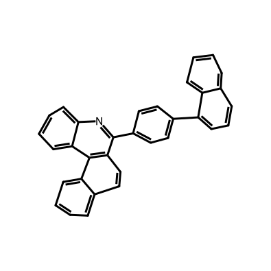 c1ccc2c(-c3ccc(-c4nc5ccccc5c5c4ccc4ccccc45)cc3)cccc2c1